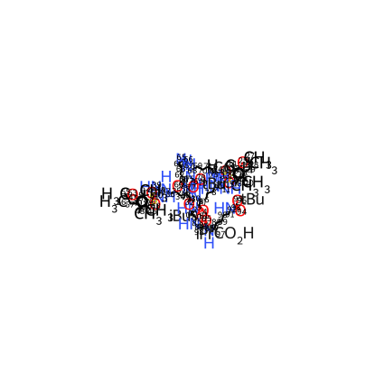 CCC(C)[C@@H](NC(=O)[C@@H](CCCNC(=N)NS(=O)(=O)c1c(C)c(C)c2c(c1C)OC(C)(C)C2)NC(=O)[C@@H](CCCNC(=N)NS(=O)(=O)c1c(C)c(C)c2c(c1C)OC(C)(C)C2)NC(=O)[C@@H](Cc1cnnn1CCCC[C@H](N)C(=O)O)NC(=O)OC(C)(C)C)C(=O)NC(C(=O)N[C@H](CCCCNC(=O)OC(C)(C)C)C(=O)O)C(C)C